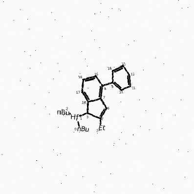 CCC[CH2][Hf]([CH2]CCC)[CH]1C(CC)=Cc2c(-c3ccccc3)cccc21